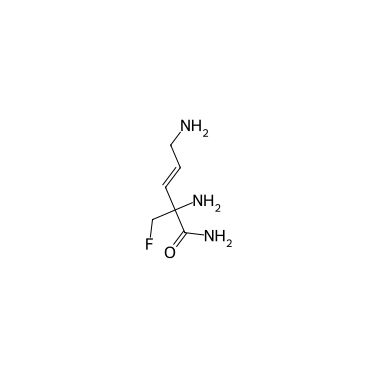 NC/C=C/C(N)(CF)C(N)=O